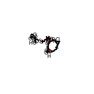 C/C1=C\C=C\C(C)C2(O)CC(OC(=O)N2)C(C)C2OC2(C)C(OC(=O)C(C)N(C)C(=O)CCC(C)(C)SSCCC(C(=O)OC2C(=O)CCC2=O)S(=O)(=O)O)CC(=O)N(C)c2cc(cc(C)c2Cl)C1